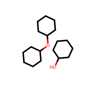 C1CCC(OC2CCCCC2)CC1.OC1CCCCC1